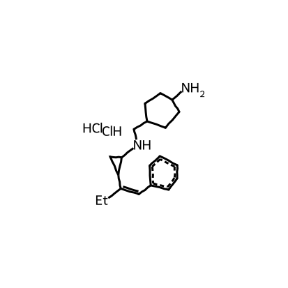 CCC(=Cc1ccccc1)C1CC1NCC1CCC(N)CC1.Cl.Cl